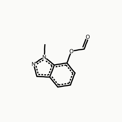 Cn1ncc2cccc(OC=O)c21